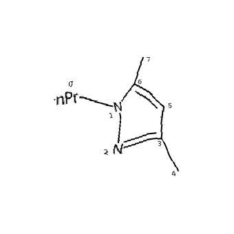 CC[CH]n1nc(C)cc1C